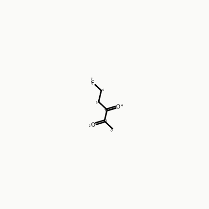 CC(=O)C(=O)CCF